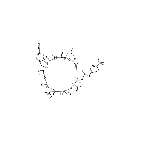 C/C=C(\C)[C@H]1OC(=O)C(C)(C)NC(=O)[C@H]([C@H](C)CC)NC(=O)CN(C)C(=O)[C@@H](Cc2ccc(C#N)cc2)N(C)C(=O)[C@H](C)NC(=O)[C@@H](CC(C)C)OC(=O)/C(C)=C/C[C@H](OC(=O)Oc2ccc([N+](=O)[O-])cc2)[C@@H]1C